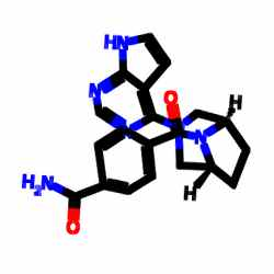 NC(=O)c1ccc(C(=O)N2[C@@H]3CC[C@@H]2CN(c2ncnc4[nH]ccc24)C3)cc1